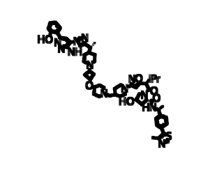 Cc1ncsc1-c1ccc([C@H](C)NC(=O)[C@@H]2C[C@@H](O)CN2C(=O)[C@@H](c2cc(N3CCC(CN4CCC(OC5CC(N6CCC([C@@H](C)c7cn(-c8cc(-c9ccccc9O)nnc8N)cn7)CC6)C5)CC4)CC3)no2)C(C)C)cc1